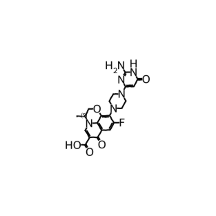 C[C@H]1COc2c(N3CCN(c4cc(=O)[nH]c(N)n4)CC3)c(F)cc3c(=O)c(C(=O)O)cn1c23